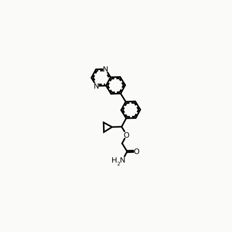 NC(=O)COC(c1cccc(-c2ccc3nccnc3c2)c1)C1CC1